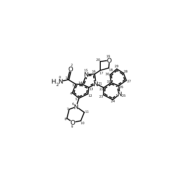 NC(=O)c1cc(N2CCOCC2)cc2c1nc(C1COC1)n2-c1ccnc2ccccc12